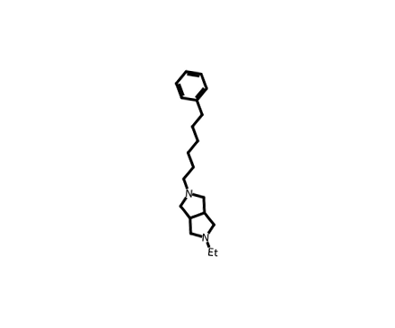 CCN1CC2CN(CCCCCCc3ccccc3)CC2C1